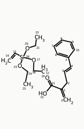 C=C(CC=Cc1ccccc1)C(=O)O.C=C[Si](OCC)(OCC)OCC